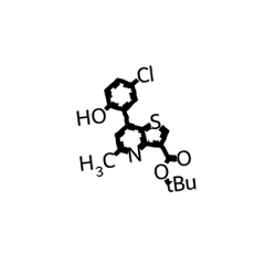 Cc1cc(-c2cc(Cl)ccc2O)c2scc(C(=O)OC(C)(C)C)c2n1